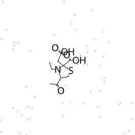 CCN1C(C(C)=O)CSC1(CC(=O)O)C(=O)O